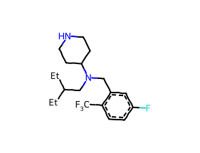 CCC(CC)CN(Cc1cc(F)ccc1C(F)(F)F)C1CCNCC1